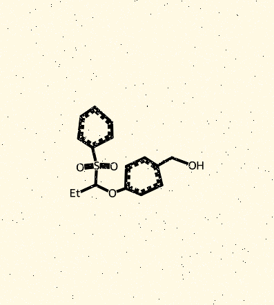 CCC(Oc1ccc(CO)cc1)S(=O)(=O)c1ccccc1